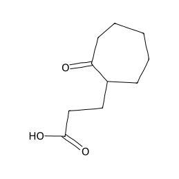 O=C(O)CCC1CCCCCC1=O